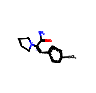 NC(=O)/C(=C\c1ccc([N+](=O)[O-])cc1)N1CCCC1